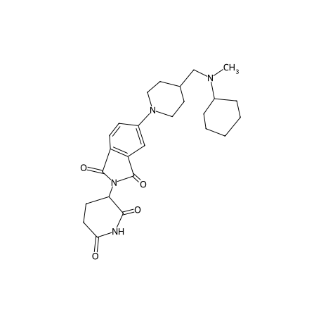 CN(CC1CCN(c2ccc3c(c2)C(=O)N(C2CCC(=O)NC2=O)C3=O)CC1)C1CCCCC1